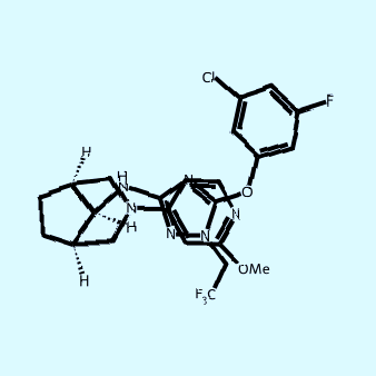 COc1cc(N2C[C@H]3CC[C@@H](C2)[C@H]3Nc2nc(Oc3cc(F)cc(Cl)c3)n(CC(F)(F)F)n2)ccn1